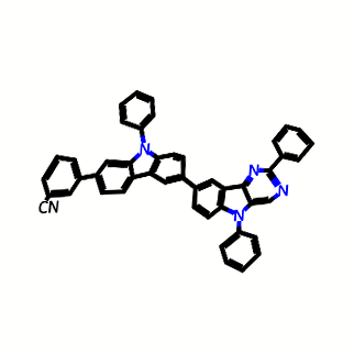 N#Cc1cccc(-c2ccc3c4cc(-c5ccc6c(c5)c5nc(-c7ccccc7)ncc5n6-c5ccccc5)ccc4n(-c4ccccc4)c3c2)c1